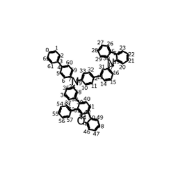 c1ccc(-c2ccc(N(c3ccc(-c4cccc(-n5c6ccccc6c6ccccc65)c4)cc3)c3cccc(-c4ccc5c(oc6ccccc65)c4-c4ccccc4)c3)cc2)cc1